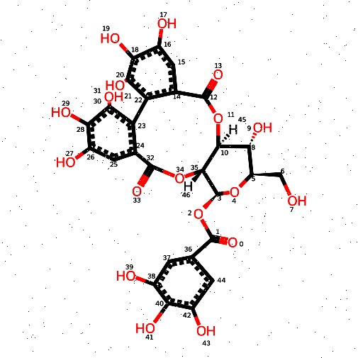 O=C(O[C@@H]1O[C@H](CO)[C@@H](O)[C@@H]2OC(=O)c3cc(O)c(O)c(O)c3-c3c(cc(O)c(O)c3O)C(=O)O[C@@H]12)c1cc(O)c(O)c(O)c1